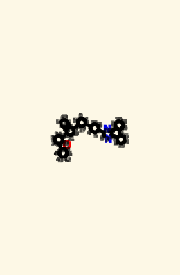 c1cc(-c2ccc(-c3cnc4c5ccccc5c5ccccc5c4n3)cc2)cc(-c2ccc(-c3cccc4c3oc3ccccc34)c3c2C2CCC3C2)c1